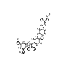 CCOC(=O)CCc1ccc(Oc2ccc(C(Cc3cc(OC)cc(OC)c3)C(=O)O)cc2)cc1